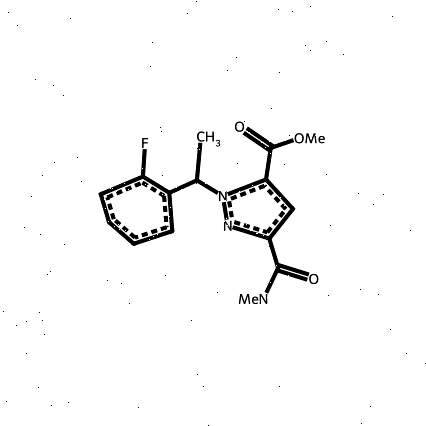 CNC(=O)c1cc(C(=O)OC)n(C(C)c2ccccc2F)n1